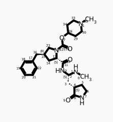 CN[C@H](C[C@@H]1CCNC1=O)NC(=O)[C@@H]1C[C@@H](Cc2ccccc2)CN1C(=O)OC1CCN(C)CC1